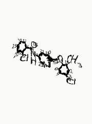 Cc1cc(Cl)ccc1Oc1ccc(NC(=O)c2ccccc2Cl)cn1